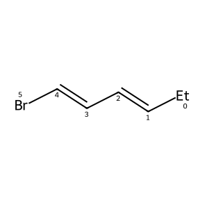 CCC=CC=CBr